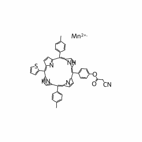 Cc1ccc(-c2c3nc(c(-c4cccs4)c4ccc([nH]4)c(-c4ccc(C)cc4)c4nc(c(-c5ccc(OC(=O)CC#N)cc5)c5ccc2[nH]5)C=C4)C=C3)cc1.[Mn+2]